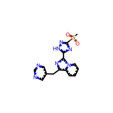 CS(=O)(=O)c1n[nH]c(-c2nc(Cc3cncnc3)c3ccccn23)n1